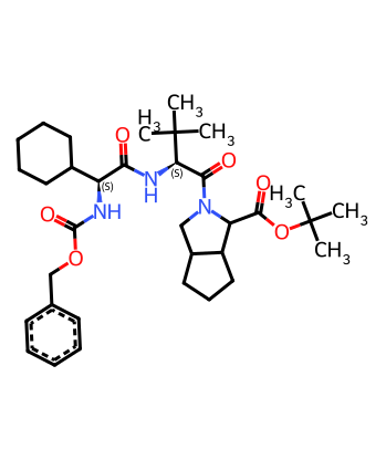 CC(C)(C)OC(=O)C1C2CCCC2CN1C(=O)[C@@H](NC(=O)[C@@H](NC(=O)OCc1ccccc1)C1CCCCC1)C(C)(C)C